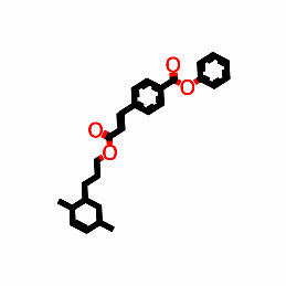 CC1C=CC(C)C(CCCOC(=O)/C=C/c2ccc(C(=O)Oc3ccccc3)cc2)C1